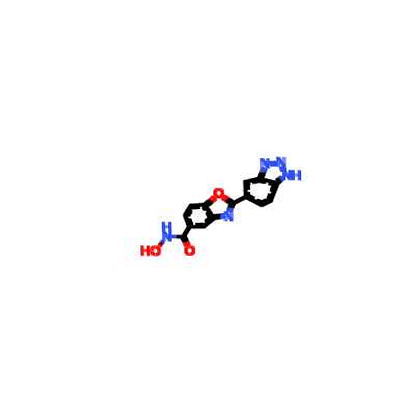 O=C(NO)c1ccc2oc(-c3ccc4[nH]nnc4c3)nc2c1